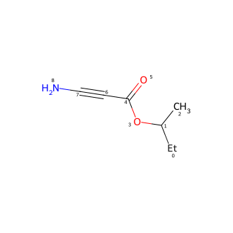 CCC(C)OC(=O)C#CN